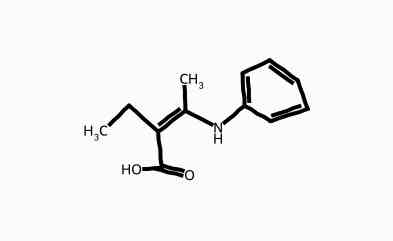 CC/C(C(=O)O)=C(\C)Nc1ccccc1